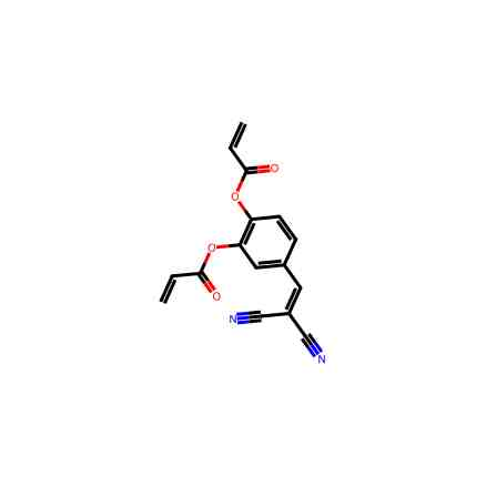 C=CC(=O)Oc1ccc(C=C(C#N)C#N)cc1OC(=O)C=C